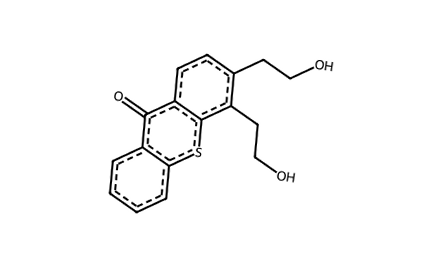 O=c1c2ccccc2sc2c(CCO)c(CCO)ccc12